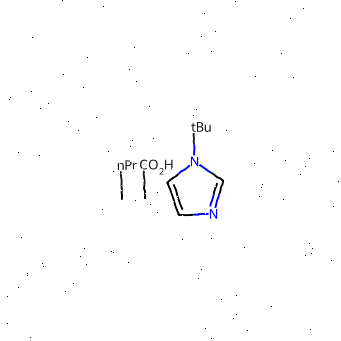 CC(=O)O.CC(C)(C)n1ccnc1.CCCC